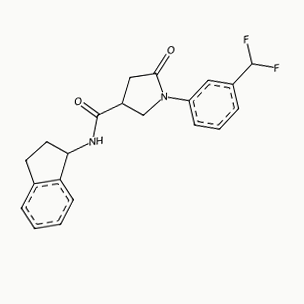 O=C(NC1CCc2ccccc21)C1CC(=O)N(c2cccc(C(F)F)c2)C1